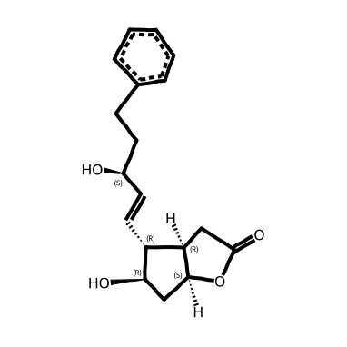 O=C1C[C@@H]2[C@@H](C=C[C@@H](O)CCc3ccccc3)[C@H](O)C[C@@H]2O1